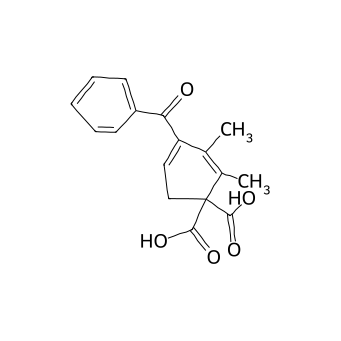 CC1=C(C)C(C(=O)O)(C(=O)O)CC=C1C(=O)c1ccccc1